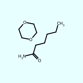 C1COCCO1.CCCCCC(N)=O